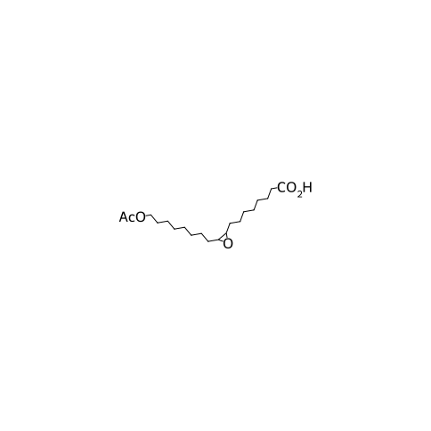 CC(=O)OCCCCCCCCC1OC1CCCCCCCC(=O)O